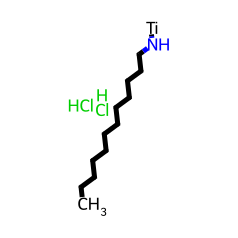 CCCCCCCCCCCC[NH][Ti].Cl.Cl